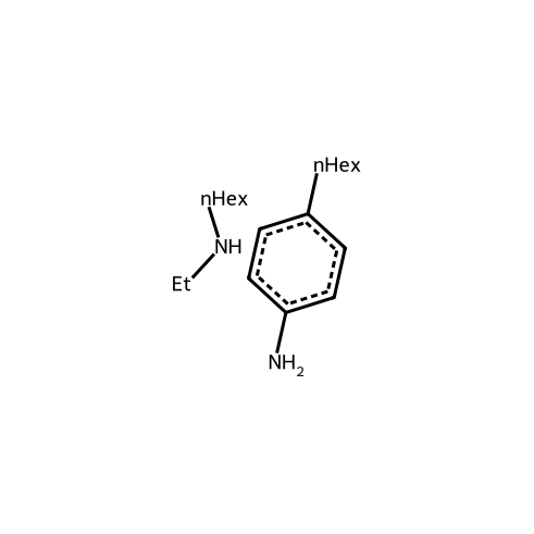 CCCCCCNCC.CCCCCCc1ccc(N)cc1